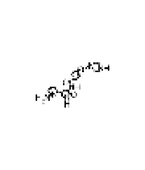 Nc1cccc(-c2c[nH]c(=O)c(NC(=O)c3ccc(OCCN4CCNCC4)cc3)c2)n1